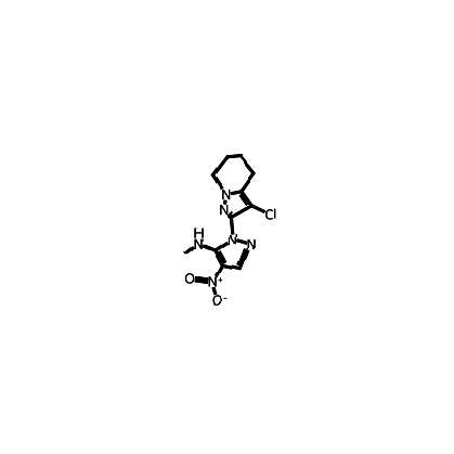 CNc1c([N+](=O)[O-])cnn1-c1nn2c(c1Cl)CCCC2